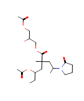 CCC(CC(C)(CC(C)N1CCCC1=O)C(=O)OCC(O)COC(C)=O)OC(C)=O